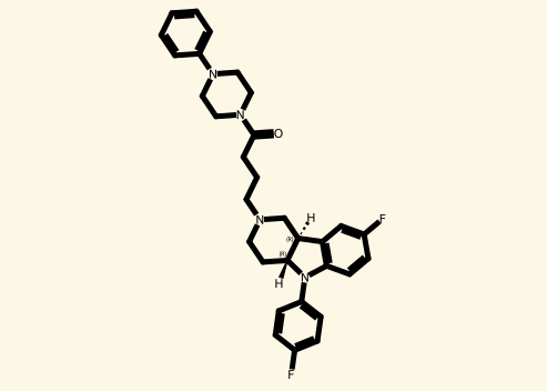 O=C(CCCN1CC[C@@H]2[C@@H](C1)c1cc(F)ccc1N2c1ccc(F)cc1)N1CCN(c2ccccc2)CC1